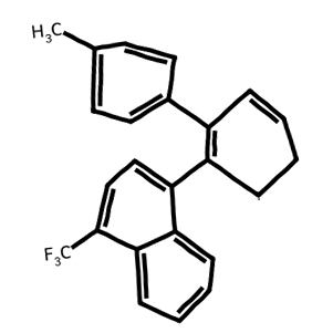 Cc1ccc(C2=C(c3ccc(C(F)(F)F)c4ccccc34)[CH]CC=C2)cc1